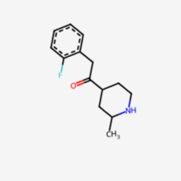 CC1CC(C(=O)Cc2ccccc2F)CCN1